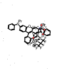 CCN(CCOC(=O)C(C)(C)CC)S(=O)(=O)C(F)(F)C(F)(F)C(F)(F)S(=O)(=O)NS(=O)(=O)c1ccccc1-c1c2cc/c(=[N+](\c3ccccc3)C(C)C)cc-2oc2cc(N(c3ccccc3)C(C)C)ccc12